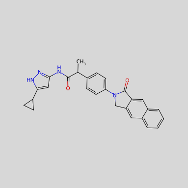 CC(C(=O)Nc1cc(C2CC2)[nH]n1)c1ccc(N2Cc3cc4ccccc4cc3C2=O)cc1